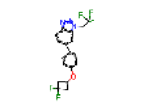 FC(F)(F)Cn1nnc2ccc(-c3ccc(OC4CC(F)(F)C4)cc3)cc21